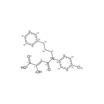 O=C(O)C(O)=CC(=O)N(CCCc1ccccc1)c1ccc(Cl)cc1